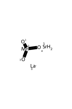 [La].[O]=[Mn](=[O])=[O].[SrH2]